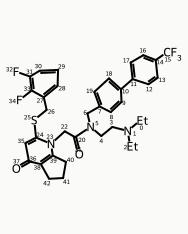 CCN(CC)CCN(Cc1ccc(-c2ccc(C(F)(F)F)cc2)cc1)C(=O)Cn1c(SCc2cccc(F)c2F)cc(=O)c2c1CCC2